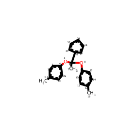 Cc1ccc(OC(C)(Oc2ccc(C)cc2)c2ccccc2)cc1